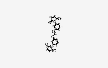 O=C1C=CC(=O)N1c1cccc(OCOc2cccc(N3C(=O)C=CC3=O)c2)c1